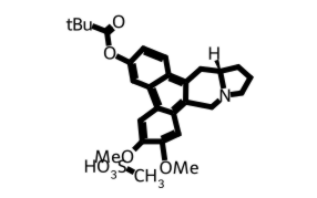 COc1cc2c3c(c4ccc(OC(=O)C(C)(C)C)cc4c2cc1OC)C[C@@H]1CCCN1C3.CS(=O)(=O)O